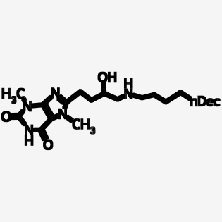 CCCCCCCCCCCCCCNCC(O)CCc1nc2c(c(=O)[nH]c(=O)n2C)n1C